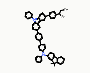 CC(C)CC(c1ccc(-c2ccc3c(c2)c2cc(-c4ccc(-c5ccc(N(c6ccccc6)c6ccc7c(c6)C(C)(C)c6ccccc6-7)cc5)cc4)ccc2n3-c2ccccc2)cc1)C(C)C